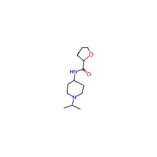 CC(C)N1CCC(NC(=O)C2CCCO2)CC1